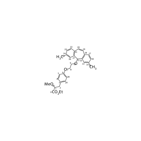 CCOC(=O)C(Cc1ccc(OCCOC2c3cc(C)ccc3C=Cc3ccc(C)cc32)cc1)OC